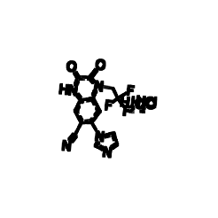 Cl.N#Cc1cc2[nH]c(=O)c(=O)n(CC(F)(F)F)c2cc1-n1ccnc1.O.O